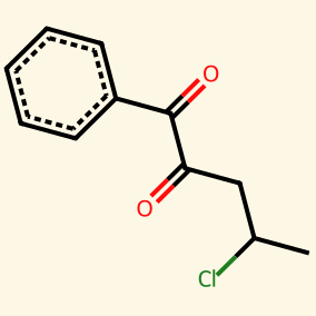 CC(Cl)CC(=O)C(=O)c1ccccc1